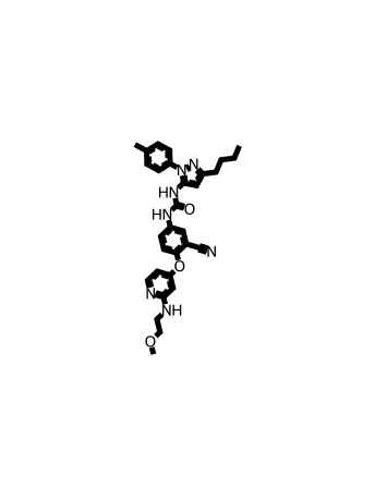 CCCCc1cc(NC(=O)Nc2ccc(Oc3ccnc(NCCOC)c3)c(C#N)c2)n(-c2ccc(C)cc2)n1